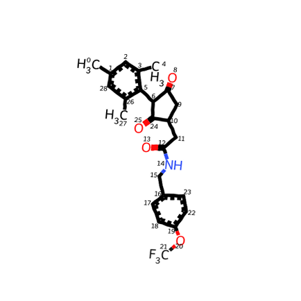 Cc1cc(C)c(C2C(=O)CC(CC(=O)NCc3ccc(OC(F)(F)F)cc3)C2=O)c(C)c1